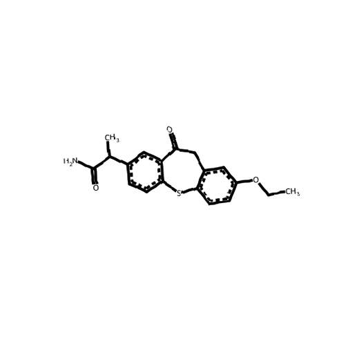 CCOc1ccc2c(c1)CC(=O)c1cc(C(C)C(N)=O)ccc1S2